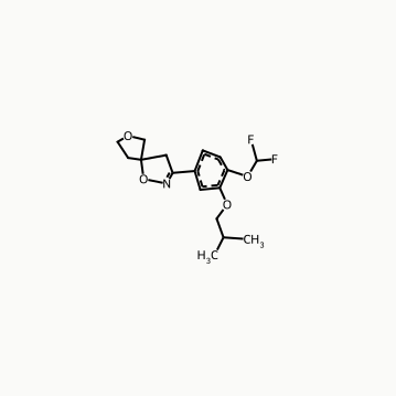 CC(C)COc1cc(C2=NOC3(CCOC3)C2)ccc1OC(F)F